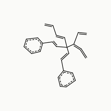 C=C=C(C=C)C(C=CC=C)(C=Cc1ccccc1)C=Cc1ccccc1